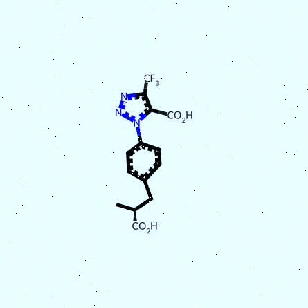 C[C@@H](Cc1ccc(-n2nnc(C(F)(F)F)c2C(=O)O)cc1)C(=O)O